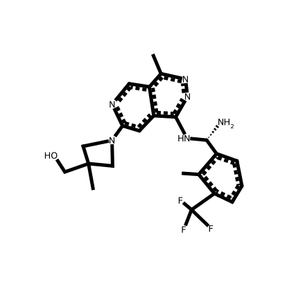 Cc1c([C@@H](N)Nc2nnc(C)c3cnc(N4CC(C)(CO)C4)cc23)cccc1C(F)(F)F